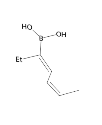 C/C=C\C=C(/CC)B(O)O